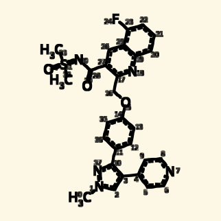 Cn1cc(-c2ccncc2)c(-c2ccc(OCc3nc4cccc(F)c4cc3C(=O)N=S(C)(C)=O)cc2)n1